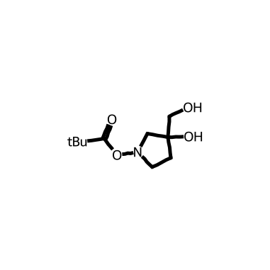 CC(C)(C)C(=O)ON1CCC(O)(CO)C1